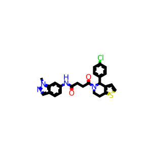 Cn1ncc2ccc(NC(=O)CCC(=O)N3CCc4sccc4C3c3ccc(Cl)cc3)cc21